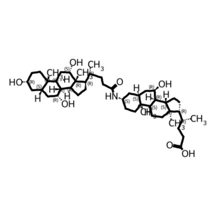 C[C@H](CCC(=O)O)[C@H]1CC[C@H]2[C@@H]3[C@H](O)C[C@@H]4C[C@@H](NC(=O)CC[C@@H](C)[C@H]5CC[C@H]6[C@@H]7[C@H](O)C[C@@H]8C[C@H](O)CC[C@]8(C)[C@H]7C[C@H](O)[C@]56C)CC[C@]4(C)[C@H]3CC[C@]12C